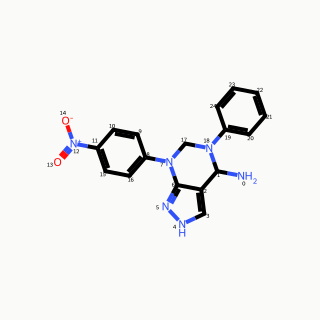 NC1c2c[nH]nc2N(c2ccc([N+](=O)[O-])cc2)CN1c1ccccc1